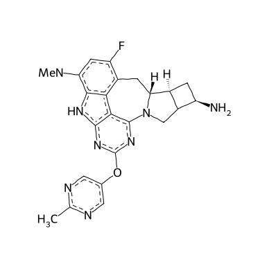 CNc1cc(F)c2c3c1[nH]c1nc(Oc4cnc(C)nc4)nc(c13)N1CC3[C@H](N)C[C@@H]3[C@H]1C2